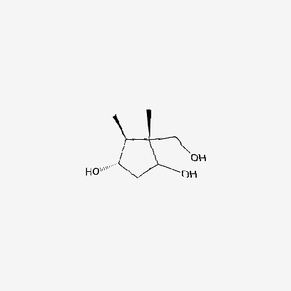 C[C@@H]1[C@@H](O)CC(O)[C@@]1(C)CO